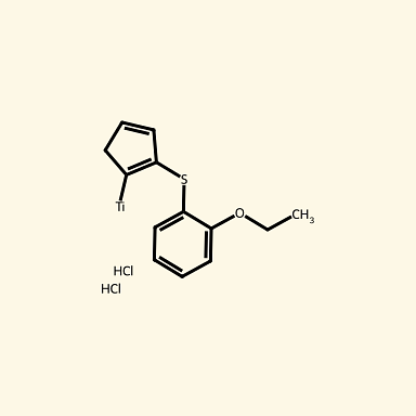 CCOc1ccccc1SC1=[C]([Ti])CC=C1.Cl.Cl